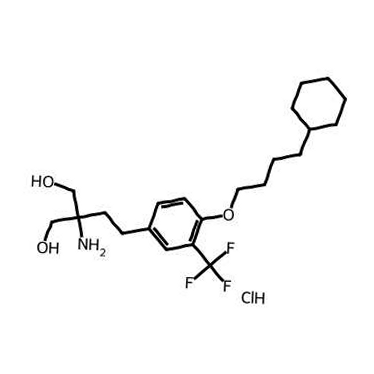 Cl.NC(CO)(CO)CCc1ccc(OCCCCC2CCCCC2)c(C(F)(F)F)c1